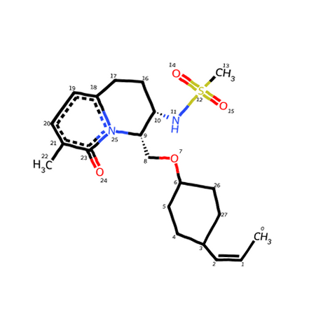 C/C=C\C1CCC(OC[C@H]2[C@@H](NS(C)(=O)=O)CCc3ccc(C)c(=O)n32)CC1